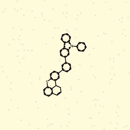 C1=Cc2cccc3c2C(C1)c1cc(-c2cccc(-c4ccc5c6ccccc6n(-c6ccccc6)c5c4)c2)ccc1S3